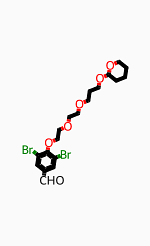 O=Cc1cc(Br)c(OCCOCCOCCCOC2CCCCO2)c(Br)c1